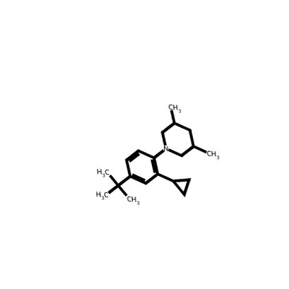 CC1CC(C)CN(c2ccc(C(C)(C)C)cc2C2CC2)C1